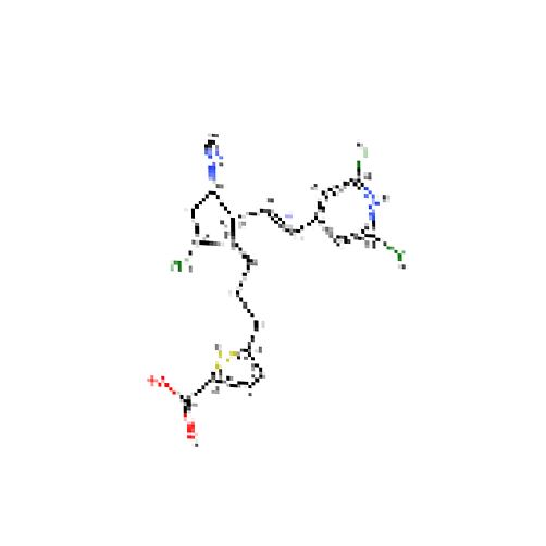 [C-]#[N+][C@@H]1C[C@@H](Cl)[C@H](CCCc2ccc(C(=O)O)s2)[C@H]1/C=C/c1cc(Cl)nc(Cl)c1